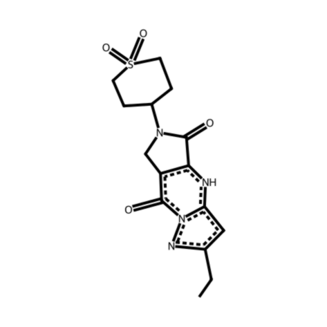 CCc1cc2[nH]c3c(c(=O)n2n1)CN(C1CCS(=O)(=O)CC1)C3=O